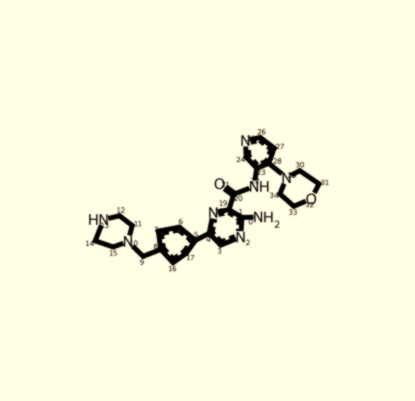 Nc1ncc(-c2ccc(CN3CCNCC3)cc2)nc1C(=O)Nc1cnccc1N1CCOCC1